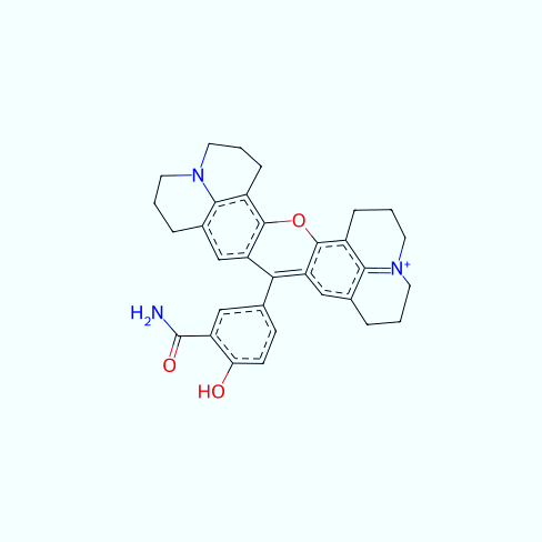 NC(=O)c1cc(C2=c3cc4c5c(c3Oc3c2cc2c6c3CCCN6CCC2)CCC[N+]=5CCC4)ccc1O